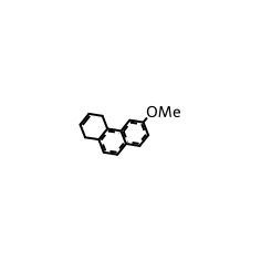 COc1ccc2ccc3c(c2c1)CC=CC3